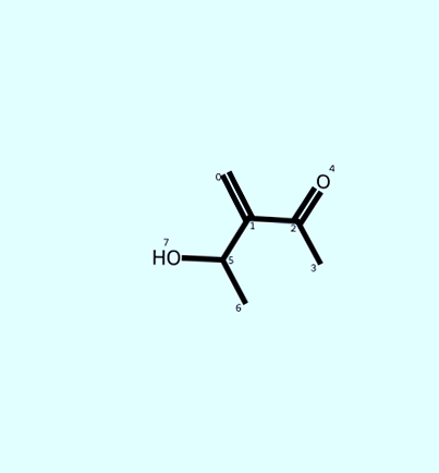 C=C(C(C)=O)C(C)O